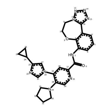 O=C(Nc1cccc2c1OCCn1nnnc1-2)c1cc(-n2cnc(C3CC3)c2)c(N2CCCC2)cn1